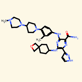 Cc1cc(Nc2nc(NC3CCC4(CC3)COC4)c(-c3cc[nH]n3)nc2C(N)=O)ccc1N1CCC(N2CCN(C)CC2)CC1